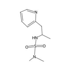 CC(Cc1ccccn1)NS(=O)(=O)N(C)C